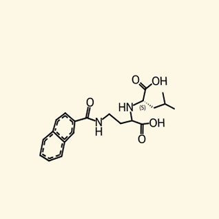 CC(C)C[C@H](NC(CCNC(=O)c1ccc2ccccc2c1)C(=O)O)C(=O)O